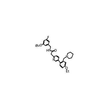 CCOc1ccc(-c2ccc(CC(=O)NCc3cc(F)cc(OCC(C)C)c3)nc2)c(CN2CCCCC2)c1